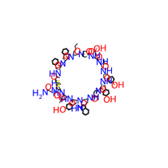 CCCC[C@H]1C(=O)N(C)CC(=O)N[C@@H](CC(=O)O)C(=O)N[C@@H](C(C)C)C(=O)N[C@@H](Cc2ccc(O)cc2)C(=O)N[C@@H](Cc2ccc(O)cc2)C(=O)N(C)CC(=O)N[C@@H](Cc2c[nH]c3ccccc23)C(=O)N[C@@H](Cc2ccc(O)cc2)C(=O)N[C@@H](CC(C)C)C(=O)N[C@H](C(=O)NCC(N)=O)CSCC(=O)N[C@@H](Cc2ccccc2)C(=O)N(C)[C@@H](Cc2ccccc2)C(=O)N1C